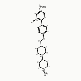 CCCCCc1ccc(-c2ccc(CC[C@H]3CC[C@H](C4CC[SiH](CCC)CC4)CC3)cc2)c(F)c1